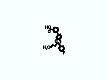 CCCCC(=O)N(Cc1ccc(-c2cccc(C(=O)O)c2)cc1)c1ccc(F)cc1